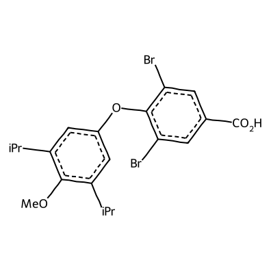 COc1c(C(C)C)cc(Oc2c(Br)cc(C(=O)O)cc2Br)cc1C(C)C